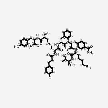 CN[C@@H](CSSC[C@@H](NC(=O)CCc1ccc(Cl)cc1)C(=O)N[C@@H](Cc1ccccc1)C(=O)N[C@H](Cc1ccc(C(N)=O)cc1)C(=O)N[C@@H](CCCCN)C(=O)NC(C=O)C(C)O)C(=O)N[C@H](Cc1ccc(O)cc1)C(N)=O